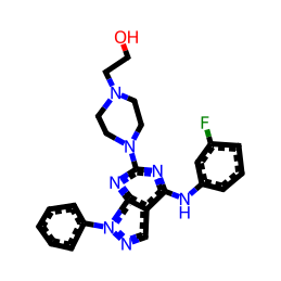 OCCN1CCN(c2nc(Nc3cccc(F)c3)c3cnn(-c4ccccc4)c3n2)CC1